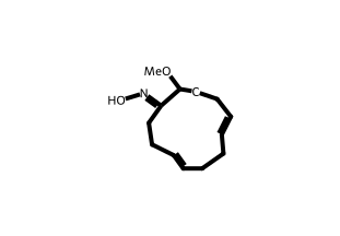 COC1CC/C=C/CC/C=C/CC/C1=N\O